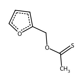 CC(=S)OCc1ccco1